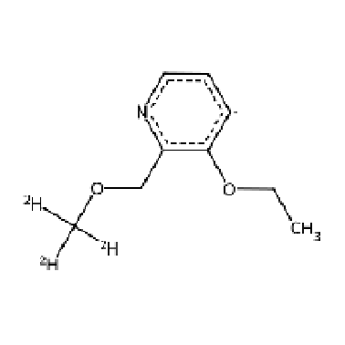 [2H]C([2H])([2H])OCc1ncc[c]c1OCC